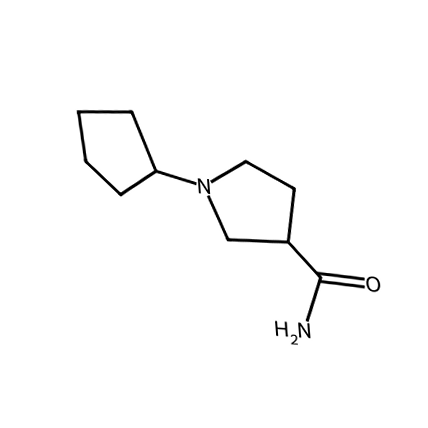 NC(=O)C1CCN(C2CCCC2)C1